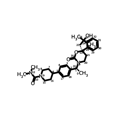 C[C@@H](c1ccc(C2CCN(C(=O)N(C)C)CC2)cc1)N1CC[C@](CC(C)(C)O)(c2ccccc2)OC1=O